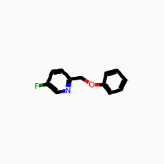 Fc1ccc(COc2cc[c]cc2)nc1